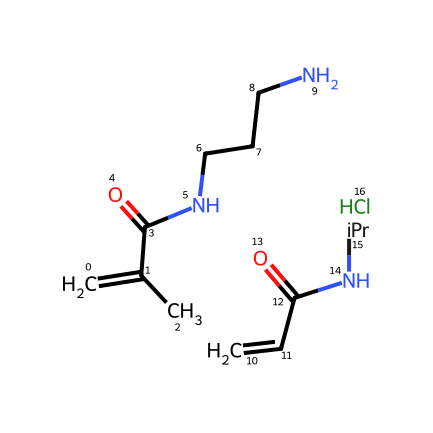 C=C(C)C(=O)NCCCN.C=CC(=O)NC(C)C.Cl